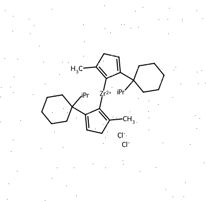 CC1=[C]([Zr+2][C]2=C(C)CC=C2C2(C(C)C)CCCCC2)C(C2(C(C)C)CCCCC2)=CC1.[Cl-].[Cl-]